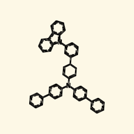 C1=CC(c2cccc(-n3c4ccccc4c4ccccc43)c2)CC=C1N(c1ccc(-c2ccccc2)cc1)c1ccc(-c2ccccc2)cc1